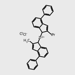 CC1=Cc2c(-c3ccccc3)cccc2[CH]1[Zr+2][CH]1C(C(C)C)=Cc2c(-c3ccccc3)cccc21.[Cl-].[Cl-]